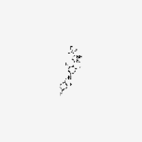 CN1NC(C(F)(F)F)C=C1c1c(F)cc(NCc2ccc(F)cc2F)cc1F